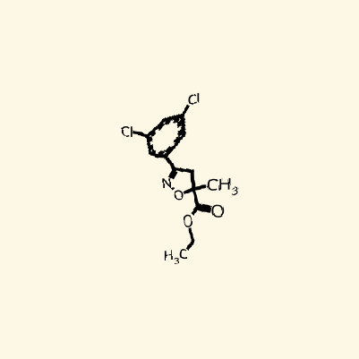 CCOC(=O)C1(C)CC(c2cc(Cl)cc(Cl)c2)=NO1